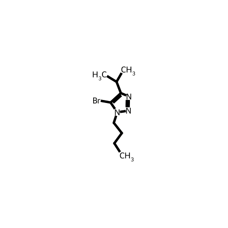 CCCCn1nnc(C(C)C)c1Br